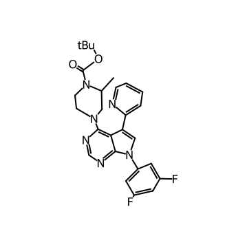 CC1CN(c2ncnc3c2c(-c2ccccn2)cn3-c2cc(F)cc(F)c2)CCN1C(=O)OC(C)(C)C